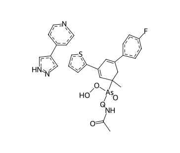 CC(=O)NO[As](=O)(OO)C1(C)C=C(c2cccs2)C=C(c2ccc(F)cc2)C1.c1cc(-c2cn[nH]c2)ccn1